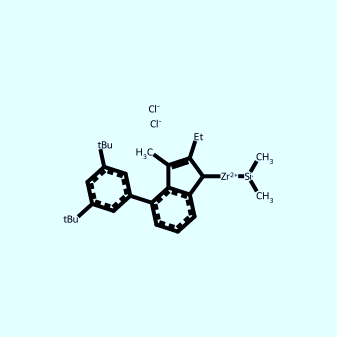 CCC1=C(C)c2c(-c3cc(C(C)(C)C)cc(C(C)(C)C)c3)cccc2[CH]1[Zr+2][Si](C)C.[Cl-].[Cl-]